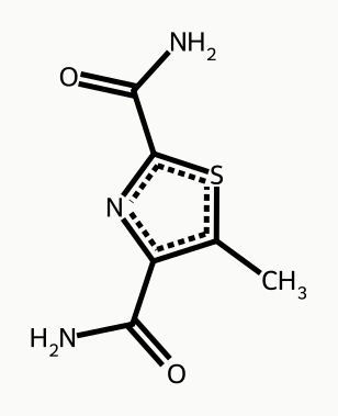 Cc1sc(C(N)=O)nc1C(N)=O